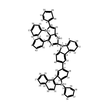 c1ccc(-c2nc(-n3c4ccccc4c4cc(-c5ccc6c(c5)c5c7ccccc7ccc5n6-c5ccccc5)ccc43)nc3cc(-c4ccccc4)n(-c4ccccc4)c23)cc1